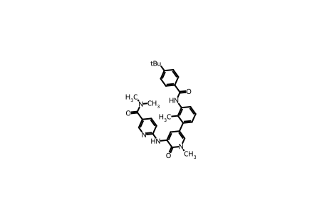 Cc1c(NC(=O)c2ccc(C(C)(C)C)cc2)cccc1-c1cc(Nc2ccc(C(=O)N(C)C)cn2)c(=O)n(C)c1